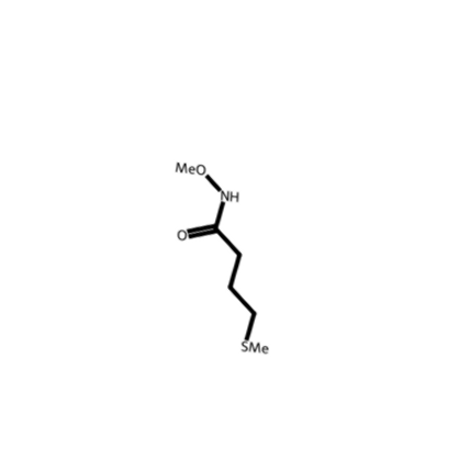 CONC(=O)CCCSC